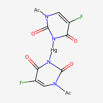 CC(=O)n1cc(F)c(=O)[n]([Hg][n]2c(=O)c(F)cn(C(C)=O)c2=O)c1=O